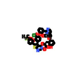 COCOc1c(-c2c(-c3ccc(F)cc3)sc3ncnc(O[C@H](Cc4ccccc4OCc4ccnc(-c5ccccc5OC)n4)C(=O)O)c23)ccc(O)c1Cl